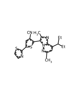 CCC(CC)c1cc(C)nn2c(-c3sc(-c4nccs4)cc3C#N)c(C)nc12